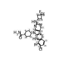 NC(=O)[C@H]1CC[C@H](n2c(Nc3c(F)ccc(Cl)c3F)nc3cnc(NC4CC(F)(F)C4)nc32)CC1